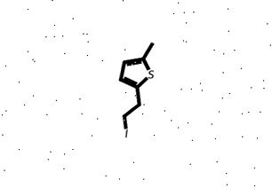 Cc1ccc(CCI)s1